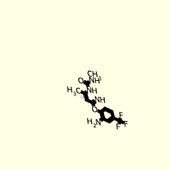 CNC(=O)N/C(C)=C\C(=N)Oc1ccc(C(F)(F)F)cc1N